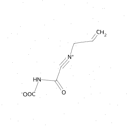 C=CC[N+]#CC(=O)NC(=O)[O-]